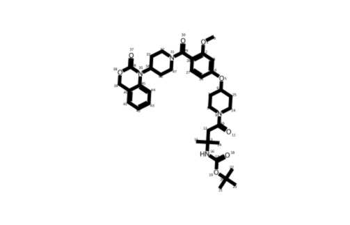 COc1cc(OC2CCN(C(=O)CC(C)(C)NC(=O)OC(C)(C)C)CC2)ccc1C(=O)N1CCC(N2C(=O)OCc3ccccc32)CC1